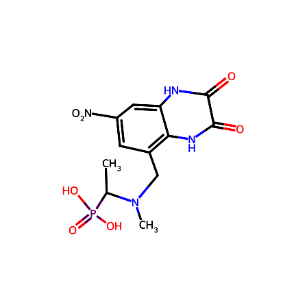 CC(N(C)Cc1cc([N+](=O)[O-])cc2[nH]c(=O)c(=O)[nH]c12)P(=O)(O)O